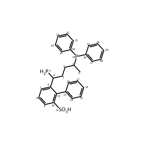 CC(CCC(P)c1cccc(S(=O)(=O)O)c1-c1ccccc1)P(c1ccccc1)c1ccccc1